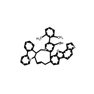 Cc1cccc(C)c1-c1c[n+]2c(cc1C(C)(C)C)-c1c(ccc3c1oc1c4ccsc4ccc31)C/C=C/C1C(C2)c2ccccc2-c2cccc[n+]21